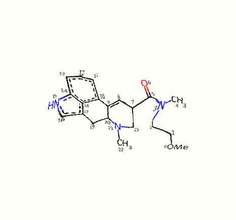 COCCN(C)C(=O)C1C=C2c3cccc4[nH]cc(c34)CC2N(C)C1